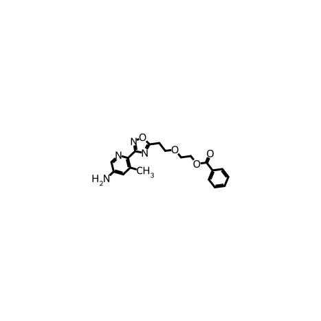 Cc1cc(N)cnc1-c1noc(CCOCCOC(=O)c2ccccc2)n1